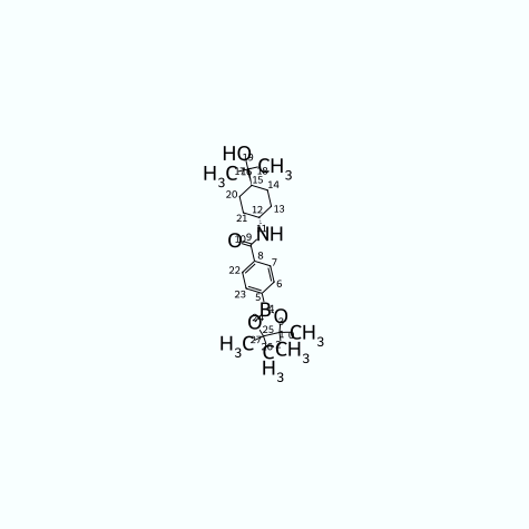 CC1(C)OB(c2ccc(C(=O)N[C@H]3CC[C@H](C(C)(C)O)CC3)cc2)OC1(C)C